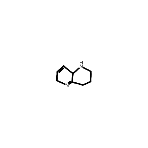 C1=CC2NCCCC2=NC1